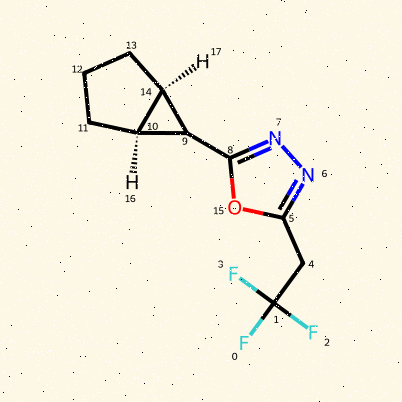 FC(F)(F)Cc1nnc(C2[C@H]3CCC[C@@H]23)o1